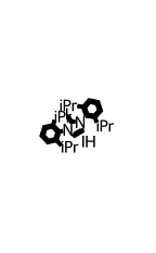 CC(C)c1cccc(C(C)C)c1N1C=CN(c2c(C(C)C)cccc2C(C)C)C1I.I